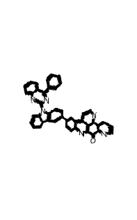 O=C1c2ncccc2-c2nccc3c2c1nc1ccc(-c2ccc4c(c2)C2C=CC=CC2N4c2nc(-c4ccccc4)c4ccccc4n2)cc13